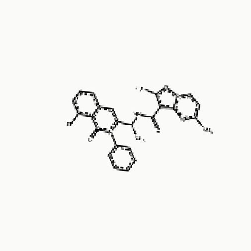 Cc1ccn2nc(C)c(C(=O)N[C@@H](C)c3cc4cccc(Cl)c4c(=O)n3-c3ccccc3)c2n1